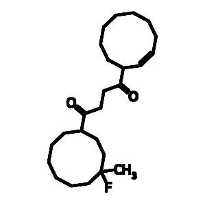 CC1(F)CCCCCCC(C(=O)CCC(=O)C2/C=C\CCCCCCC2)CC1